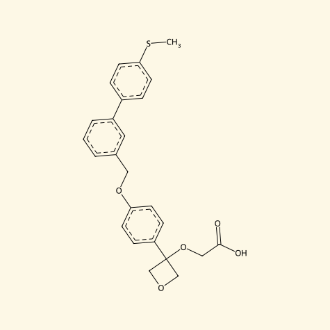 CSc1ccc(-c2cccc(COc3ccc(C4(OCC(=O)O)COC4)cc3)c2)cc1